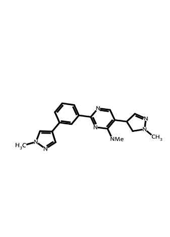 CNc1nc(-c2cccc(-c3cnn(C)c3)c2)ncc1C1C=NN(C)C1